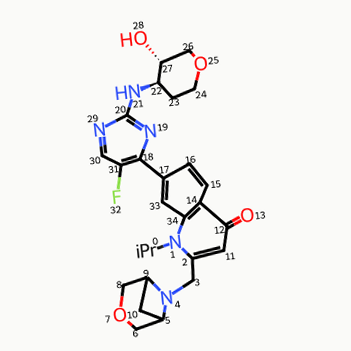 CC(C)n1c(CN2C3COCC2C3)cc(=O)c2ccc(-c3nc(N[C@@H]4CCOC[C@H]4O)ncc3F)cc21